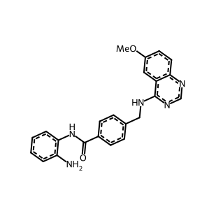 COc1ccc2ncnc(NCc3ccc(C(=O)Nc4ccccc4N)cc3)c2c1